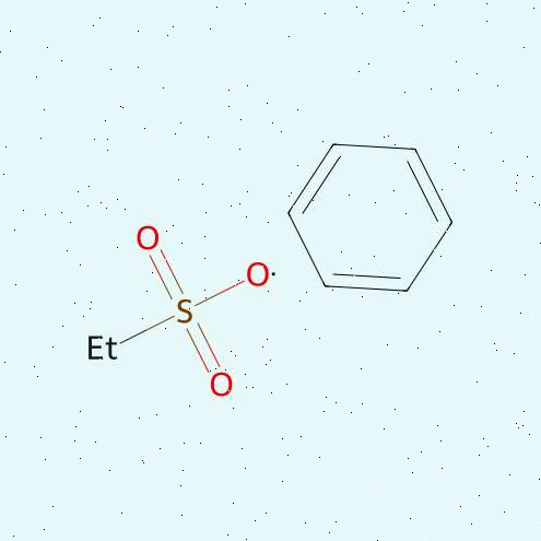 CCS([O])(=O)=O.c1ccccc1